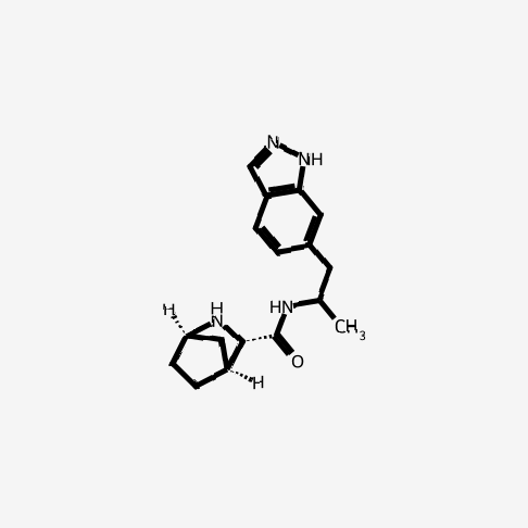 CC(Cc1ccc2cn[nH]c2c1)NC(=O)[C@H]1N[C@@H]2CC[C@H]1C2